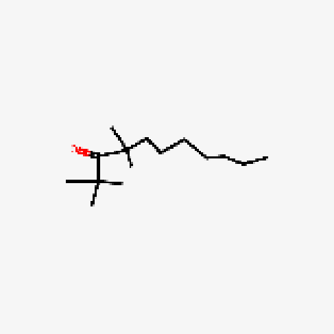 CCCCCCCC(C)(C)C(=O)C(C)(C)C